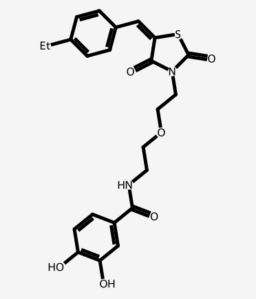 CCc1ccc(C=C2SC(=O)N(CCOCCNC(=O)c3ccc(O)c(O)c3)C2=O)cc1